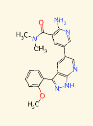 COc1ccccc1-c1n[nH]c2ncc(-c3cnc(N)c(C(=O)N(C)C)c3)cc12